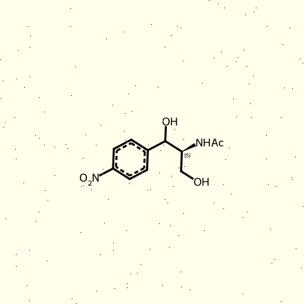 CC(=O)N[C@@H](CO)C(O)c1ccc([N+](=O)[O-])cc1